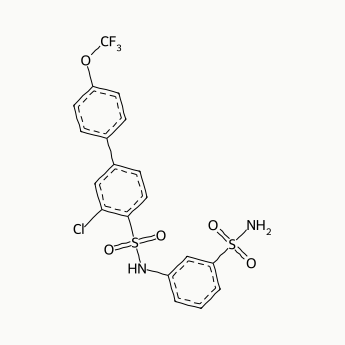 NS(=O)(=O)c1cccc(NS(=O)(=O)c2ccc(-c3ccc(OC(F)(F)F)cc3)cc2Cl)c1